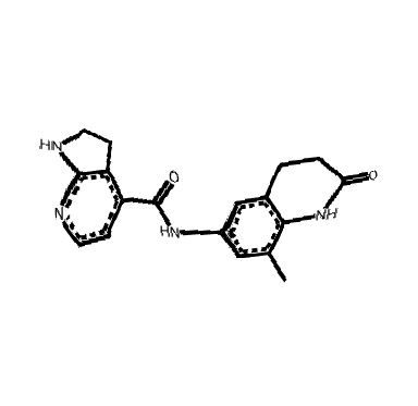 Cc1cc(NC(=O)c2ccnc3c2CCN3)cc2c1NC(=O)CC2